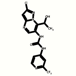 CC(O)c1c(NC(=O)Nc2ccnc(C(F)(F)F)c2)cnc2cc(Cl)nn12